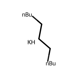 [CH2]CCCCCCCCCC.[KH]